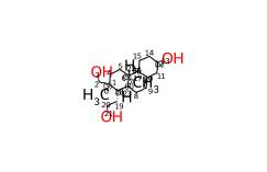 C[C@]1(CO)CC[C@H]2[C@@H](CC=C3C[C@@H](O)CC[C@@]32C)[C@@H]1CCO